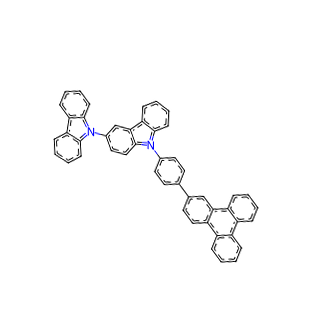 c1ccc2c(c1)c1ccccc1c1cc(-c3ccc(-n4c5ccccc5c5cc(-n6c7ccccc7c7ccccc76)ccc54)cc3)ccc21